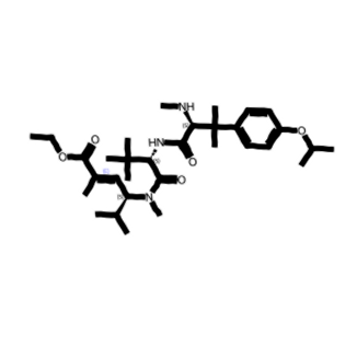 CCOC(=O)/C(C)=C/[C@H](C(C)C)N(C)C(=O)[C@@H](NC(=O)[C@@H](NC)C(C)(C)c1ccc(OC(C)C)cc1)C(C)(C)C